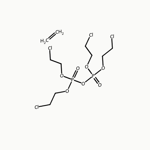 C=C.O=P(OCCCl)(OCCCl)OP(=O)(OCCCl)OCCCl